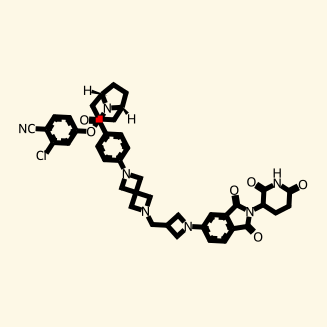 N#Cc1ccc(OC2C[C@H]3CC[C@@H](C2)N3C(=O)c2ccc(N3CC4(CN(CC5CN(c6ccc7c(c6)C(=O)N(C6CCC(=O)NC6=O)C7=O)C5)C4)C3)cc2)cc1Cl